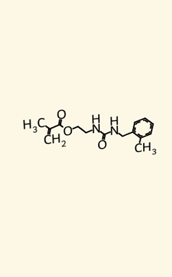 C=C(C)C(=O)OCCNC(=O)NCc1ccccc1C